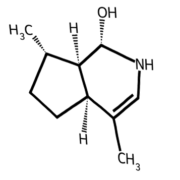 CC1=CN[C@@H](O)[C@H]2[C@@H]1CC[C@@H]2C